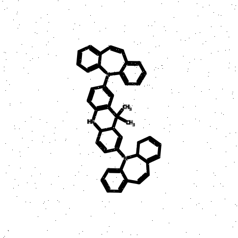 CC1(C)c2cc(N3c4ccccc4C=Cc4ccccc43)ccc2NC2C=CC(N3c4ccccc4C=CC4=CC=CCC43)=CC21